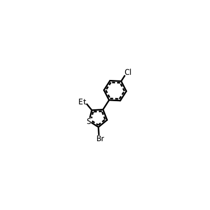 CCc1sc(Br)cc1-c1ccc(Cl)cc1